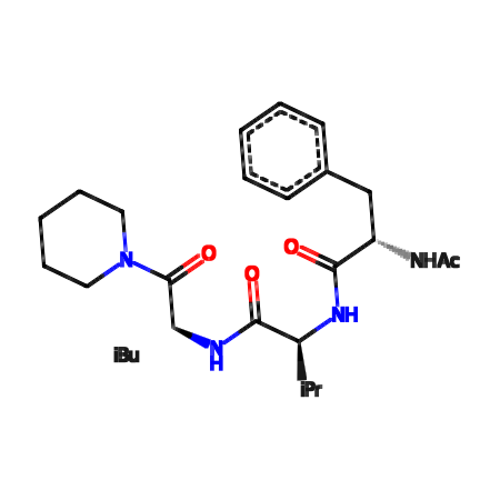 CC[C@H](C)[C@H](NC(=O)[C@@H](NC(=O)[C@H](Cc1ccccc1)NC(C)=O)C(C)C)C(=O)N1CCCCC1